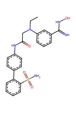 CCN(CC(=O)Nc1ccc(-c2ccccc2S(N)(=O)=O)cc1)c1cccc(C(=N)NO)c1